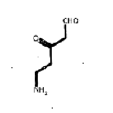 NCCC(=O)C[C]=O